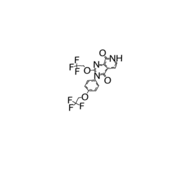 O=c1[nH]ccc2c(=O)n(-c3ccc(OCC(F)(F)F)cc3)c(OCC(F)(F)F)nc12